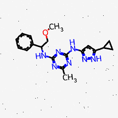 COCC(Nc1nc(C)nc(Nc2cc(C3CC3)[nH]n2)n1)c1ccccc1